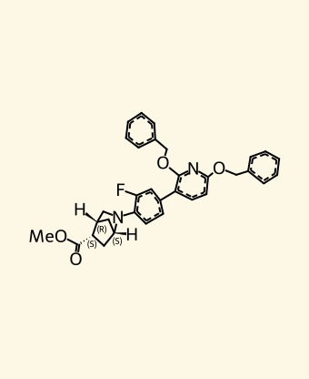 COC(=O)[C@H]1C[C@@H]2C[C@H]1CN2c1ccc(-c2ccc(OCc3ccccc3)nc2OCc2ccccc2)cc1F